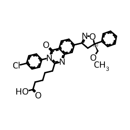 COC[C@@]1(c2ccccc2)CC(c2ccc3c(=O)n(-c4ccc(Cl)cc4)c(CCCCC(=O)O)nc3c2)=NO1